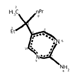 CCCC(C)(CC)c1cnc(N)nc1